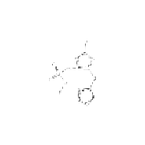 CCCCS(=O)(=O)OF.Sc1ccc(Sc2cccs2)s1